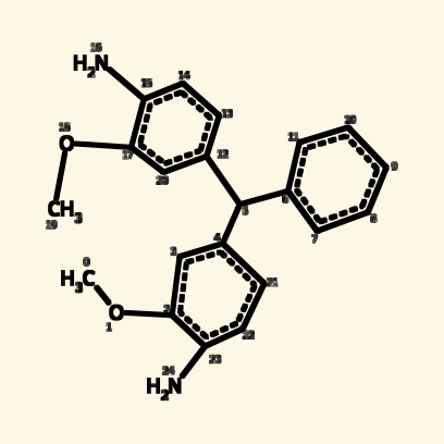 COc1cc(C(c2ccccc2)c2ccc(N)c(OC)c2)ccc1N